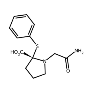 NC(=O)CN1CCC[C@@]1(Sc1ccccc1)C(=O)O